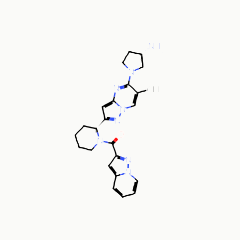 Cc1cn2nc([C@@H]3CCCCN3C(=O)c3cc4ccccn4n3)cc2nc1N1CC[C@H](N)C1